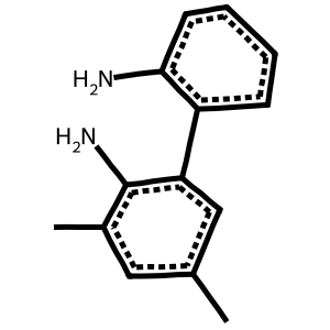 Cc1cc(C)c(N)c(-c2ccccc2N)c1